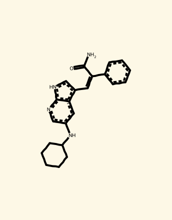 NC(=O)C(=Cc1c[nH]c2ncc(NC3CCCCC3)cc12)c1ccccc1